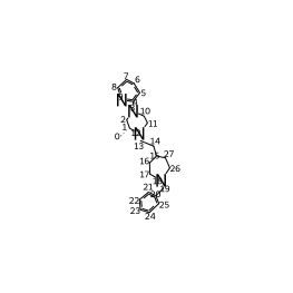 C[C@@H]1CN(c2ccccn2)CCN1CCC1CCN(Cc2ccccc2)CC1